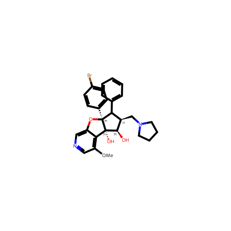 COc1cncc2c1[C@]1(O)[C@H](O)[C@H](CN3CCCC3)C(c3ccccc3)[C@]1(c1ccc(Br)cc1)O2